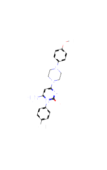 COc1ccc(N2CCN(c3cc(N)n(-c4ccc(C)cc4)c(=O)n3)CC2)cc1